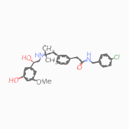 COc1cc(O)cc([C@@H](O)CNC(C)(C)Cc2cccc(CC(=O)NCc3ccc(Cl)cc3)c2)c1